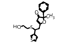 CC1(c2ccccc2)OC(CC(SCCO)c2ccsc2)=CC1=O